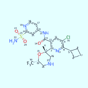 C[C@@]1(c2nc(C3CCC3)c(Cl)cc2C(=O)Nc2ccnc(S(N)(=O)=O)c2)CNC[C@H](C(F)(F)F)O1